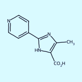 Cc1nc(-c2ccncc2)[nH]c1C(=O)O